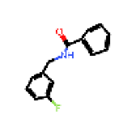 O=C(NCc1cccc(F)c1)c1ccccc1